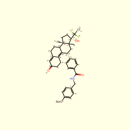 COc1ccc(CNC(=O)c2ccc([C@H]3CC4(C)[C@@H](CC[C@@]4(O)C(F)(F)C(F)(F)F)C4CCC5=CC(=O)CCC5=C43)cc2)cc1